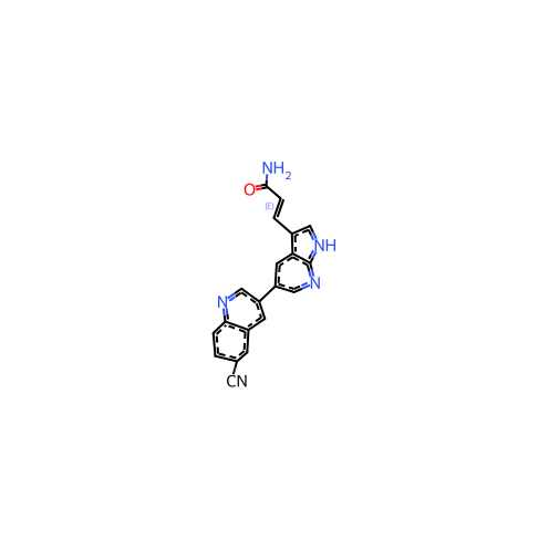 N#Cc1ccc2ncc(-c3cnc4[nH]cc(/C=C/C(N)=O)c4c3)cc2c1